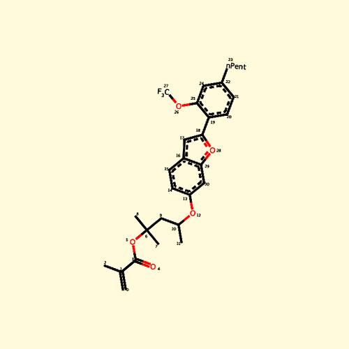 C=C(C)C(=O)OC(C)(C)CC(C)Oc1ccc2cc(-c3ccc(CCCCC)cc3OC(F)(F)F)oc2c1